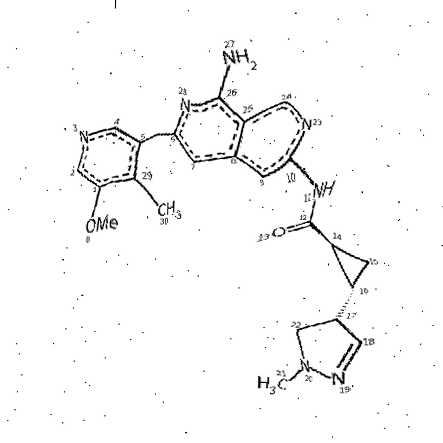 COc1cncc(-c2cc3cc(NC(=O)[C@H]4C[C@@H]4C4C=NN(C)C4)ncc3c(N)n2)c1C